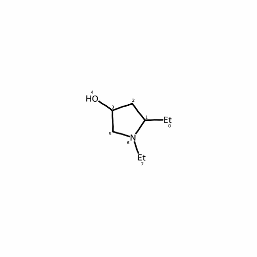 CCC1CC(O)CN1CC